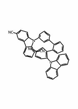 N#Cc1ccc(-n2c3ccccc3c3ccccc32)c(-c2ccccc2-c2cccc(-n3c4ccc(C#N)cc4c4cccc(C#N)c43)c2)c1